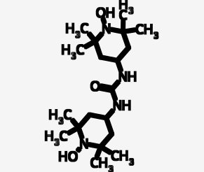 CC1(C)CC(NC(=O)NC2CC(C)(C)N(O)C(C)(C)C2)CC(C)(C)N1O